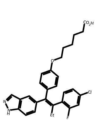 CC/C(=C(/c1ccc(OCCCCCC(=O)O)cc1)c1ccc2[nH]ncc2c1)c1ccc(Cl)cc1F